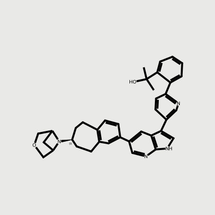 CC(C)(O)c1ccccc1-c1ccc(-c2c[nH]c3ncc(-c4ccc5c(c4)CC[C@@H](N4C6COCC4C6)CC5)cc23)cn1